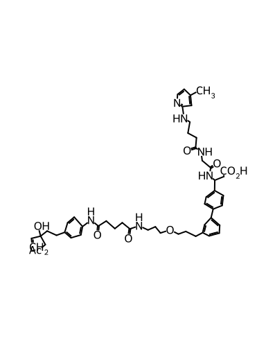 C=CC(O)(CCc1ccc(NC(=O)CCCC(=O)NCCCOCCCc2cccc(-c3ccc(C(CC(=O)O)NC(=O)CNC(=O)CCCNc4cc(C)ccn4)cc3)c2)cc1)CC(C)=O